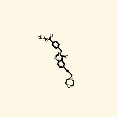 CC(C)(C)OC(=O)c1ccc(Cn2cnc3ccc(C#CCN4CCOCC4)cc3c2=O)cc1